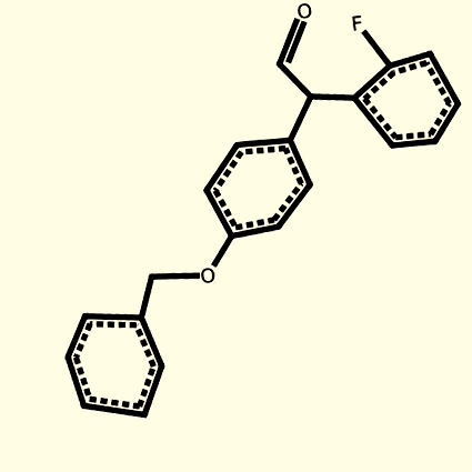 O=CC(c1ccc(OCc2ccccc2)cc1)c1ccccc1F